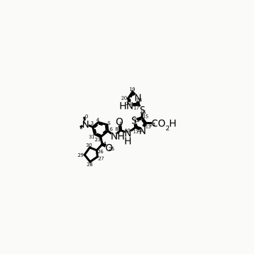 CN(C)c1ccc(NC(=O)Nc2nc(C(=O)O)c(Sc3ncc[nH]3)s2)c(C(=O)C2CCCC2)c1